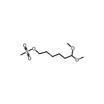 COC(CCCCCOS(C)(=O)=O)OC